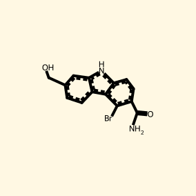 NC(=O)c1ccc2[nH]c3cc(CO)ccc3c2c1Br